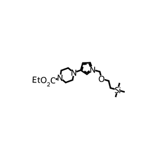 CCOC(=O)N1CCN(c2ccn(COCC[Si](C)(C)C)c2)CC1